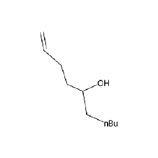 C=CCCC(O)CCCCC